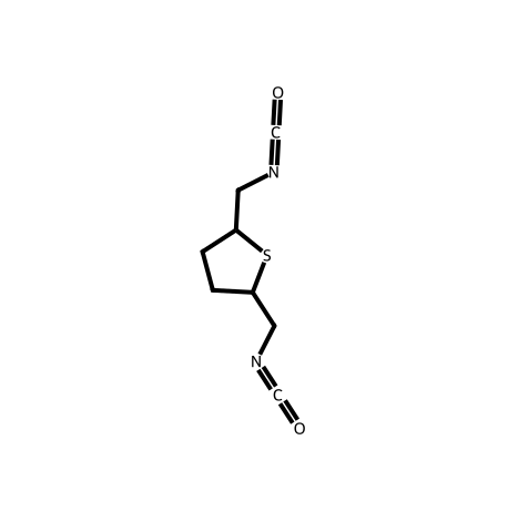 O=C=NCC1CCC(CN=C=O)S1